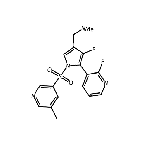 CNCc1cn(S(=O)(=O)c2cncc(C)c2)c(-c2cccnc2F)c1F